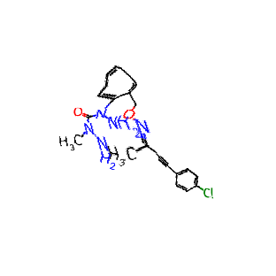 C/C(C#Cc1ccc(Cl)cc1)=N\OCc1ccccc1N(N)C(=O)N(C)N